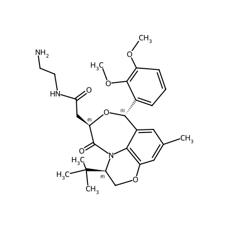 COc1cccc([C@H]2O[C@H](CC(=O)NCCN)C(=O)N3c4c(cc(C)cc42)OC[C@H]3C(C)(C)C)c1OC